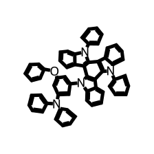 c1ccc(Oc2cc(N(c3ccccc3)c3ccccc3)cc(-n3c4ccccc4c4c5c(c6ccccc6n5-c5ccccc5)c5c(c6ccccc6n5-c5ccccc5)c43)c2)cc1